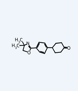 CC1(C)COC(c2ccc(C3CCC(=O)CC3)cc2)=N1